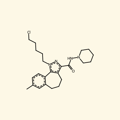 Cc1ccc2c(c1)CCCc1c(C(=O)NN3CCCCC3)nn(CCCCCCl)c1-2